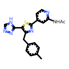 CC(=O)Nc1cc(-c2nc(Cc3ccc(C)cc3)c(-c3nnc[nH]3)s2)ccn1